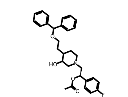 CC(=O)O[C@@H](CN1CCC(CCOC(c2ccccc2)c2ccccc2)C(O)C1)c1ccc(F)cc1